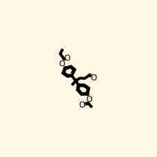 CCC(=O)Oc1ccc(C(C)(CCC=O)c2ccc(OC(C)=O)cc2)cc1